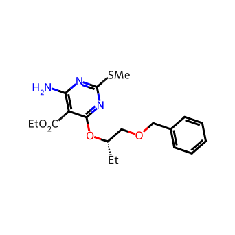 CCOC(=O)c1c(N)nc(SC)nc1O[C@@H](CC)COCc1ccccc1